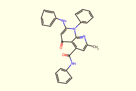 Cc1cc(C(=O)Nc2ccccc2)c2c(=O)cc(Nc3ccccc3)n(-c3ccccc3)c2n1